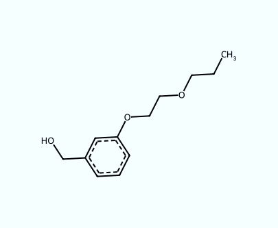 CCCOCCOc1cccc(CO)c1